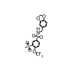 CS(=O)(=O)c1cc(S(=O)(=O)NCc2ccc3c(c2)OCO3)ccc1OC(F)(F)F